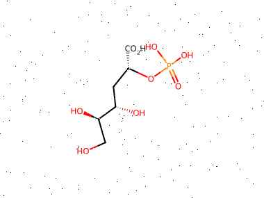 O=C(O)[C@@H](C[C@H](O)[C@H](O)CO)OP(=O)(O)O